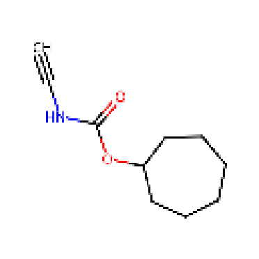 C#CNC(=O)OC1CCCCCC1